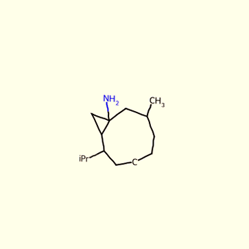 CC1CCCCC(C(C)C)C2CC2(N)C1